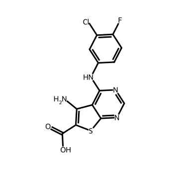 Nc1c(C(=O)O)sc2ncnc(Nc3ccc(F)c(Cl)c3)c12